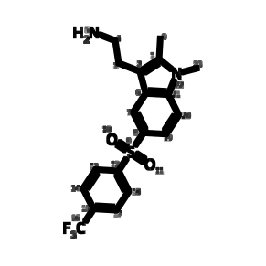 Cc1c(CCN)c2cc(S(=O)(=O)c3ccc(C(F)(F)F)cc3)ccc2n1C